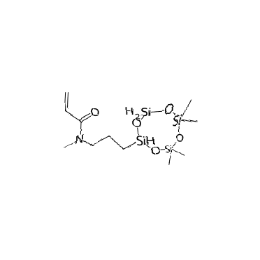 C=CC(=O)N(C)CCC[SiH]1O[SiH2]O[Si](C)(C)O[Si](C)(C)O1